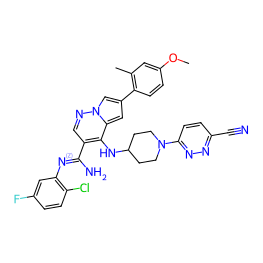 COc1ccc(-c2cc3c(NC4CCN(c5ccc(C#N)nn5)CC4)c(/C(N)=N/c4cc(F)ccc4Cl)cnn3c2)c(C)c1